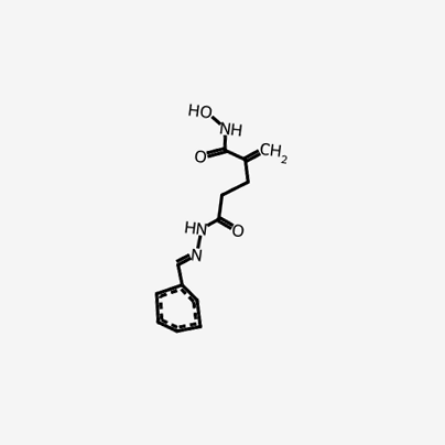 C=C(CCC(=O)N/N=C/c1ccccc1)C(=O)NO